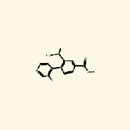 COC(=O)c1ccc(-c2ccncc2F)c(C(C)O)c1